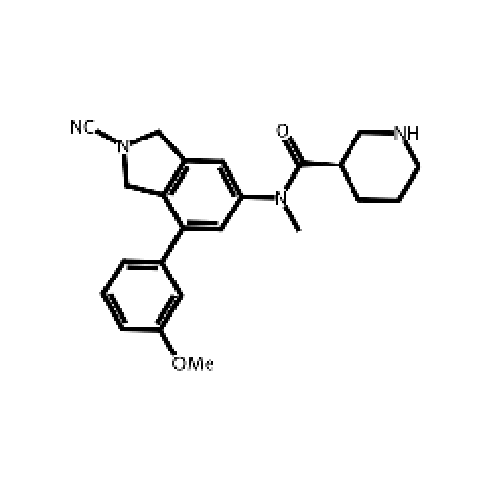 COc1cccc(-c2cc(N(C)C(=O)[C@@H]3CCCNC3)cc3c2CN(C#N)C3)c1